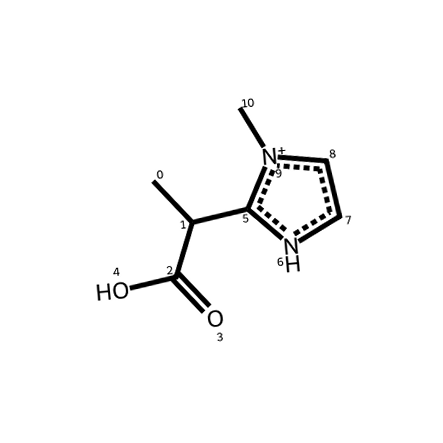 CC(C(=O)O)c1[nH]cc[n+]1C